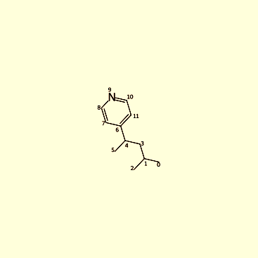 CC(C)CC(C)c1ccncc1